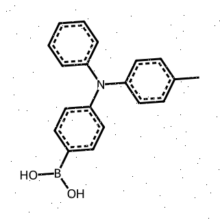 Cc1ccc(N(c2ccccc2)c2ccc(B(O)O)cc2)cc1